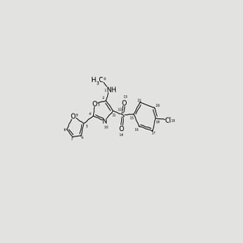 CNc1oc(-c2ccco2)nc1S(=O)(=O)c1ccc(Cl)cc1